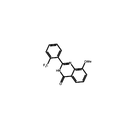 COc1cccc2c(=O)[nH]c(-c3ccccc3C(F)(F)F)nc12